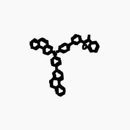 Cc1c(-c2cccc(-c3ccc(N(c4ccc(-c5ccc6c(ccc7ccccc76)c5)cc4)c4ccc5c(ccc6ccccc65)c4)cc3)c2)oc2ccccc12